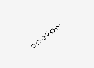 CC(C)(C)c1cc(-c2ccc(-c3cn4c(n3)sc3nc(N5CCC(N6CCOCC6)CC5)ncc34)cc2)no1